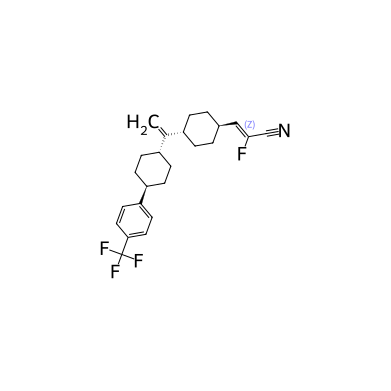 C=C([C@H]1CC[C@H](/C=C(\F)C#N)CC1)[C@H]1CC[C@H](c2ccc(C(F)(F)F)cc2)CC1